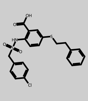 O=C(O)c1cc(SCCc2ccccc2)ccc1NS(=O)(=O)Cc1ccc(Cl)cc1